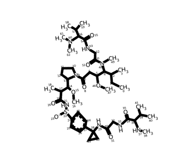 CCC(C)C(C(CC(=O)N1CCCC1C(OC)C(C)C(=O)N[S+]([O-])c1ccc(C2(NC(=O)CNC(=O)C(NC)C(C)C)CC2)cc1)OC)N(C)C(=O)CNC(=O)C(C(C)C)N(C)C